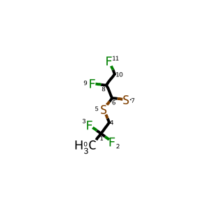 CC(F)(F)CSC([S])C(F)CF